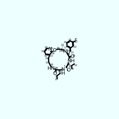 CCC[C@@H]1NC(=O)[C@@H](C(C)C)NC(=O)[C@@H](Cc2cccc(F)c2)N[C@@H](C)COc2ncccc2CCCNC1=O